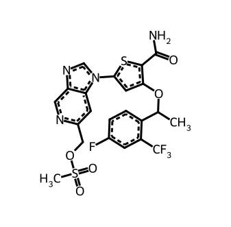 CC(Oc1cc(-n2cnc3cnc(COS(C)(=O)=O)cc32)sc1C(N)=O)c1ccc(F)cc1C(F)(F)F